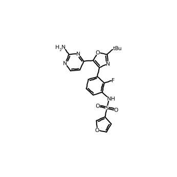 CC(C)(C)c1nc(-c2cccc(NS(=O)(=O)c3ccoc3)c2F)c(-c2ccnc(N)n2)o1